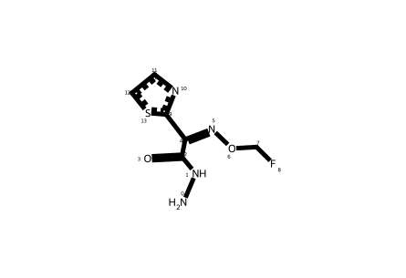 NNC(=O)C(=NOCF)c1nccs1